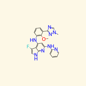 COc1c(Nc2cc(Nc3ccccn3)nc3[nH]cc(F)c23)cccc1-c1ncn(C)n1